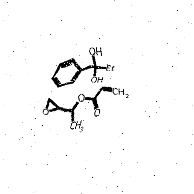 C=CC(=O)OC(C)C1CO1.CCC(O)(O)c1ccccc1